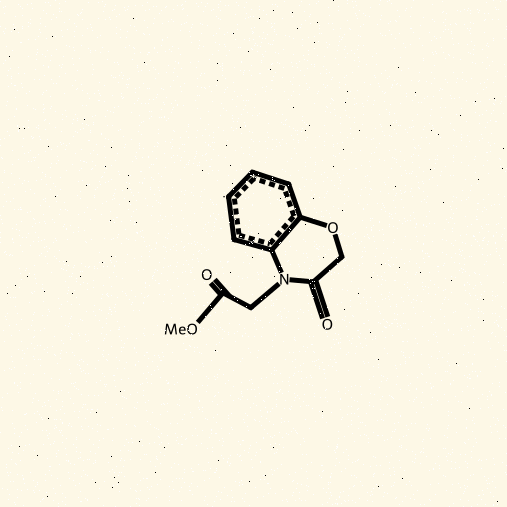 COC(=O)CN1C(=O)COc2cc[c]cc21